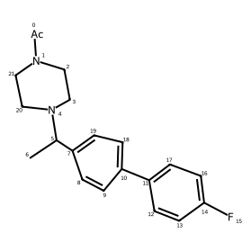 CC(=O)N1CCN(C(C)c2ccc(-c3ccc(F)cc3)cc2)CC1